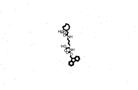 O=C(CC1(O)CCCC/C=C/C1O)NCCCC[C@H](NC(=O)OCC1c2ccccc2-c2ccccc21)C(=O)O